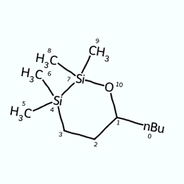 CCCCC1CC[Si](C)(C)[Si](C)(C)O1